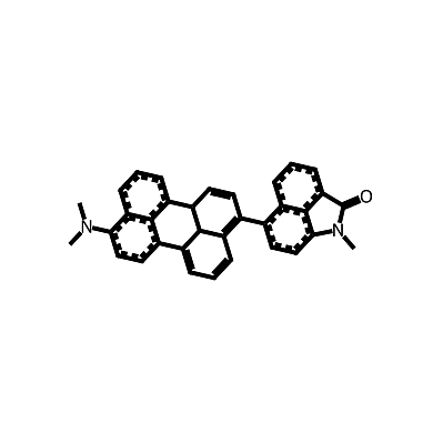 CN(C)c1ccc2c3c(cccc13)C1C=CC(c3ccc4c5c(cccc35)C(=O)N4C)=C3C=CC=C2C31